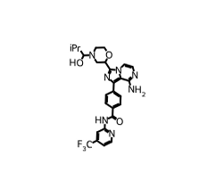 CC(C)C(O)N1CCOC(c2nc(-c3ccc(C(=O)Nc4cc(C(F)(F)F)ccn4)cc3)c3c(N)nccn23)C1